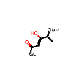 COC(C)/C(O)=C/C(=O)C(C)(C)C